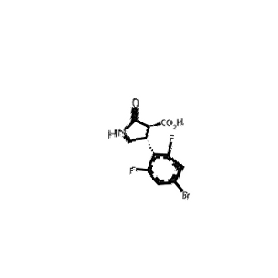 O=C(O)[C@@H]1C(=O)NC[C@H]1c1c(F)cc(Br)cc1F